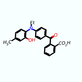 CCN(c1ccc(C(=O)c2ccccc2C(=O)O)cc1)c1ccc(C)cc1O